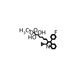 CCOC(=O)C(O)C(O)CCC=Cc1c(C2CC2)nc2ccccc2c1-c1ccc(F)cc1